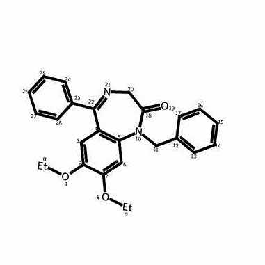 CCOc1cc2c(cc1OCC)N(Cc1ccccc1)C(=O)CN=C2c1ccccc1